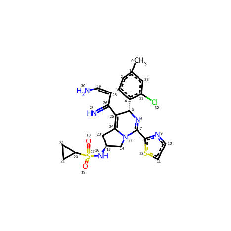 Cc1ccc([C@@H]2N=C(c3nccs3)N3C[C@@H](NS(=O)(=O)C4CC4)CC3=C2C(=N)/C=C\N)c(Cl)c1